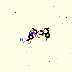 COC(C)CC(C(=O)Nc1ccc(C(N)=O)cc1)n1cc2c(cc1=O)-c1cc(Cl)ccc1CC(C)CO2